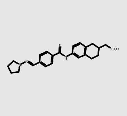 CCOC(=O)CC1CCc2cc(NC(=O)c3ccc(C=NN4CCCC4)cc3)ccc2C1